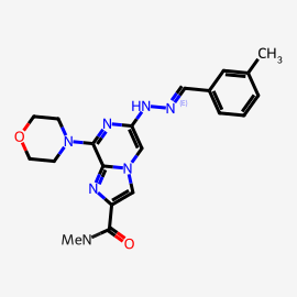 CNC(=O)c1cn2cc(N/N=C/c3cccc(C)c3)nc(N3CCOCC3)c2n1